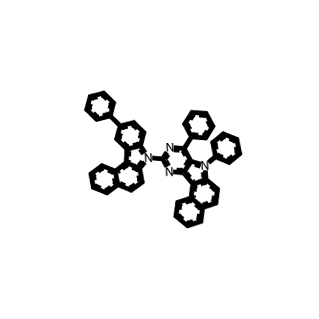 c1ccc(-c2ccc3c(c2)c2c4ccccc4ccc2n3-c2nc(-c3ccccc3)c3c(n2)c2c4ccccc4ccc2n3-c2ccccc2)cc1